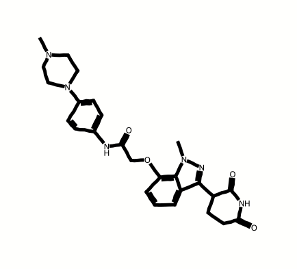 CN1CCN(c2ccc(NC(=O)COc3cccc4c(C5CCC(=O)NC5=O)nn(C)c34)cc2)CC1